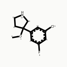 COC1(c2cc(F)cc(Cl)c2)CCNC1